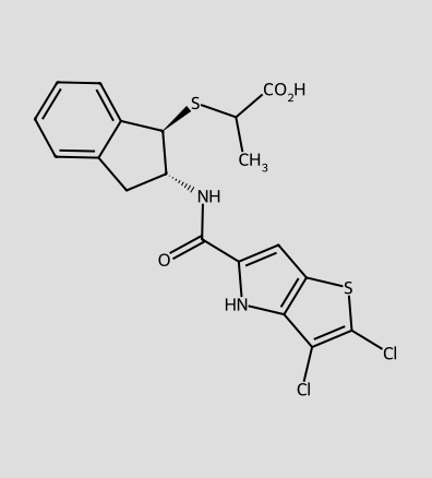 CC(S[C@@H]1c2ccccc2C[C@H]1NC(=O)c1cc2sc(Cl)c(Cl)c2[nH]1)C(=O)O